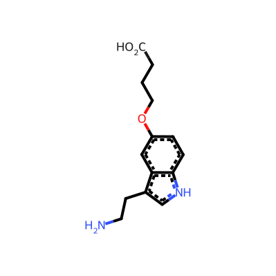 NCCc1c[nH]c2ccc(OCCCC(=O)O)cc12